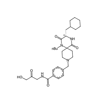 CCCCN1C(=O)[C@H](CC2CCCCC2)NC(=O)C12CCN(Cc1ccc(C(=O)NCC(=O)CO)cc1)CC2